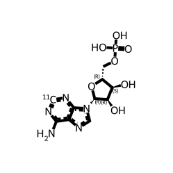 Nc1n[11cH]nc2c1ncn2[C@@H]1O[C@H](COP(=O)(O)O)[C@@H](O)[C@H]1O